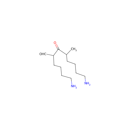 CC(CCCCN)C(=O)C(C=O)CCCCN